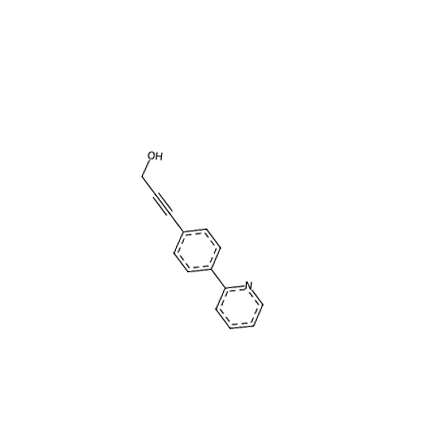 OCC#Cc1ccc(-c2ccccn2)cc1